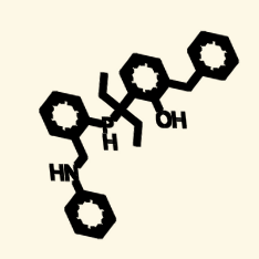 CCC(CC)(Pc1ccccc1CNc1ccccc1)c1cccc(Cc2ccccc2)c1O